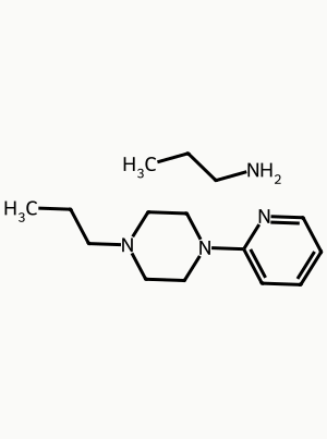 CCCN.CCCN1CCN(c2ccccn2)CC1